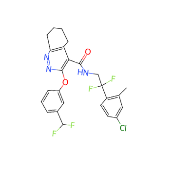 Cc1cc(Cl)ccc1C(F)(F)CNC(=O)c1c(Oc2cccc(C(F)F)c2)nnc2c1CCCC2